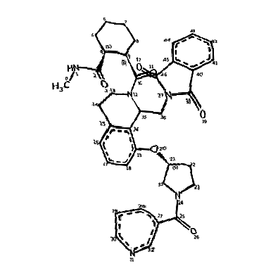 CNC(=O)[C@H]1CCCC[C@H]1C(=O)N1CCc2cccc(O[C@H]3CCN(C(=O)c4cccnc4)C3)c2C1CN1C(=O)c2ccccc2C1=O